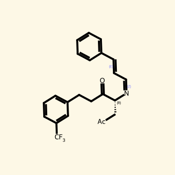 CC(=O)C[C@@H](/N=C\C=C\c1ccccc1)C(=O)CCc1cccc(C(F)(F)F)c1